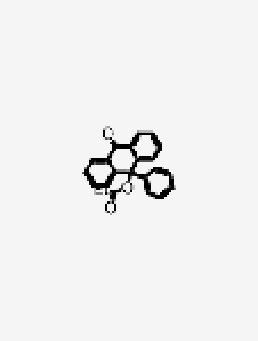 CCC(=O)OC1(c2ccccc2)c2ccccc2C(=O)c2ccccc21